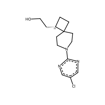 OCC[C@@H]1CCC12CCN(c1ncc(Cl)cn1)CC2